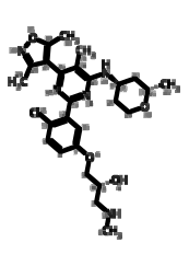 CNC[C@@H](O)COc1ccc(Cl)c(-c2nc(N[C@@H]3CCO[C@@H](C)C3)c(C)c(-c3c(C)noc3C)n2)c1